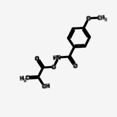 C=C(O)C(=O)ONC(=O)c1ccc(OC)cc1